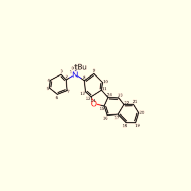 CC(C)(C)N(c1ccccc1)c1ccc2c(c1)oc1cc3ccccc3cc12